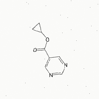 O=C(OC1CC1)c1cncnc1